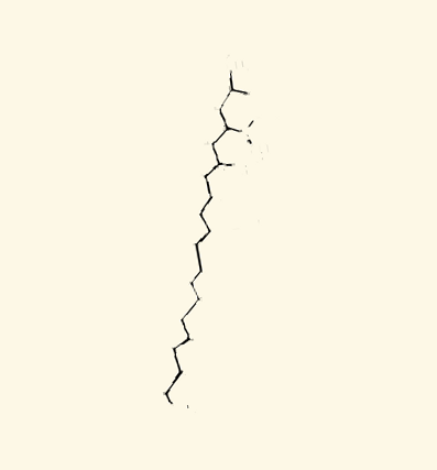 CCCCCCCCCCCCCCC(Cl)CC(CC(C)O)N(C)C.Cl